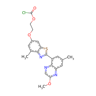 COc1cnc2c(-c3nc4c(C)cc(OCCOC(=O)Cl)cc4s3)cc(C)cc2n1